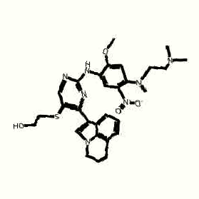 COc1cc(N(C)CCN(C)C)c([N+](=O)[O-])cc1Nc1ncc(SCCO)c(-c2cn3c4c(cccc24)CCC3)n1